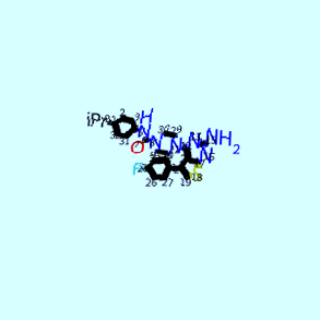 CC(C)c1ccc(NC(=O)N2CCN(c3nc(N)nc4scc(-c5ccc(F)cc5)c34)CC2)cc1